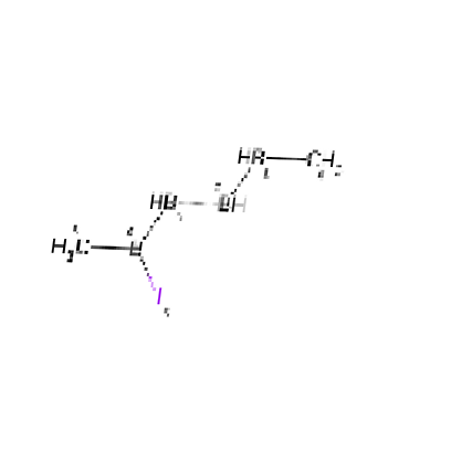 CBBBB(C)I